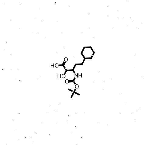 CC(C)(C)OC(=O)NC(CCC1CCCCC1)C(O)C(=O)O